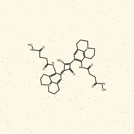 O=C(CCC(=O)Nc1c(C2=C(O)/C(=c3/cc4c5c(c3NC(=O)CCC(=O)NO)CCC[N+]=5CCC4)C2=O)cc2c3c1CCCN3CCC2)NO